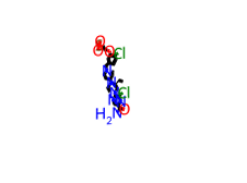 CC[C@H]1CN(c2ncc(C(N)=O)nc2Cl)CCN1C1CCN(Cc2ccc(Cl)c(OCCS(C)(=O)=O)c2)CC1